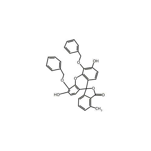 Cc1cccc2c1C(=O)OC21c2ccc(O)c(OCc3ccccc3)c2Oc2c1ccc(O)c2OCc1ccccc1